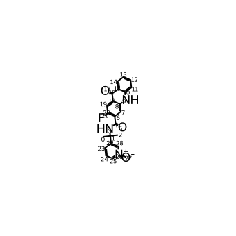 CC(C)(NC(=O)c1cc2[nH]c3ccccc3c(=O)c2cc1F)c1ccc[n+]([O-])c1